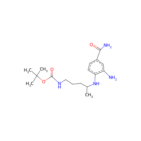 CC(CCCNC(=O)OC(C)(C)C)Nc1ccc(C(N)=O)cc1N